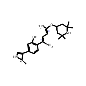 C[C@H]1NC=C1c1ccc(/C(N)=C/C=C(\N)OC2CC(C)(C)NC(C)(C)C2)c(O)c1